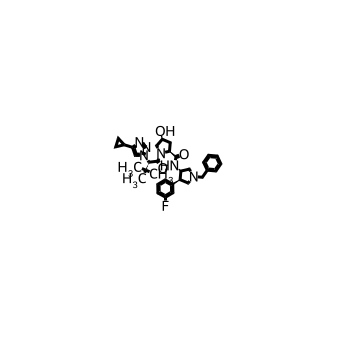 CC(C)(C)[C@@H](C(=O)N1C[C@H](O)C[C@H]1C(=O)N[C@@H]1CN(Cc2ccccc2)C[C@H]1c1cccc(F)c1)n1cc(C2CC2)nn1